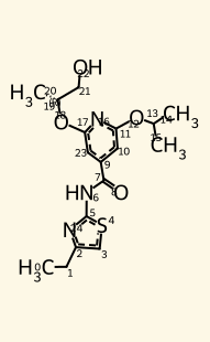 CCc1csc(NC(=O)c2cc(OC(C)C)nc(O[C@H](C)CO)c2)n1